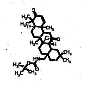 CC1(C)CC[C@]2(CNC(=O)OC(C)(C)C)CC[C@]3(C)[C@H](C(=O)CC4[C@@]5(C)C=CC(=O)C(C)(C)[C@@H]5CC[C@]43C)C2C1